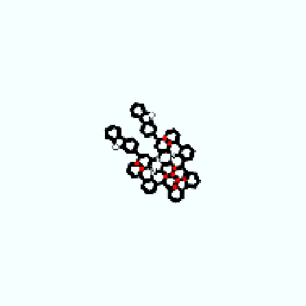 c1ccc(-c2cccc(-c3ccccc3)c2N2c3ccc(-c4ccc5c(c4)oc4ccccc45)cc3B3c4cc(-c5ccc6c(c5)oc5ccccc56)ccc4N(c4c(-c5ccccc5)cccc4-c4ccccc4)c4cc(-n5c6ccccc6c6ccccc65)cc2c43)cc1